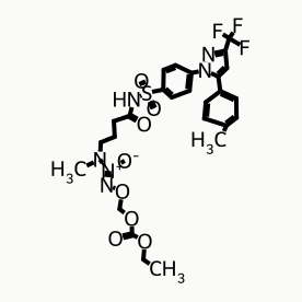 CCOC(=O)OCO/N=[N+](\[O-])N(C)CCCC(=O)NS(=O)(=O)c1ccc(-n2nc(C(F)(F)F)cc2-c2ccc(C)cc2)cc1